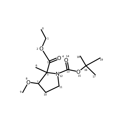 CCOC(=O)C1(C)C(OC)CCN1C(=O)OC(C)(C)C